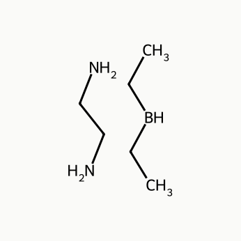 CCBCC.NCCN